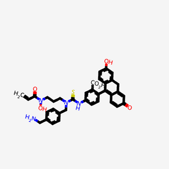 C=CC(=O)N(O)CCCN(Cc1ccc(CN)cc1)C(=S)Nc1ccc(C2=C3C=CC(=O)C=C3Cc3cc(O)ccc32)c(C(=O)O)c1